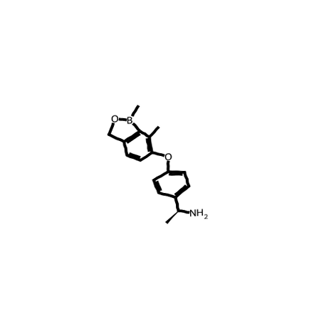 CB1OCc2ccc(Oc3ccc([C@H](C)N)cc3)c(C)c21